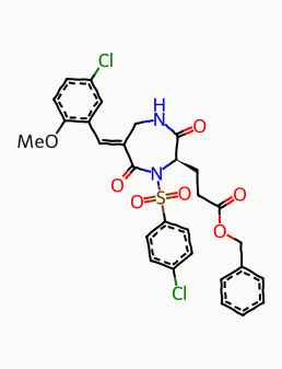 COc1ccc(Cl)cc1C=C1CNC(=O)[C@@H](CCC(=O)OCc2ccccc2)N(S(=O)(=O)c2ccc(Cl)cc2)C1=O